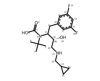 CC(C)(C)N(C(=O)O)C(Cc1cc(F)cc(F)c1)[C@H](O)CNCC1CC1